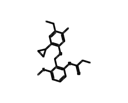 CCC(=O)Oc1cccc(SC)c1COc1cc(C)c(CC)cc1C1CC1